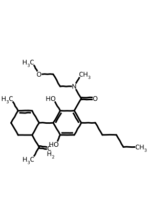 C=C(C)C1CCC(C)=CC1c1c(O)cc(CCCCC)c(C(=O)N(C)CCOC)c1O